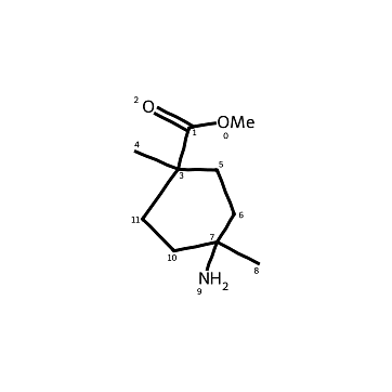 COC(=O)C1(C)CCC(C)(N)CC1